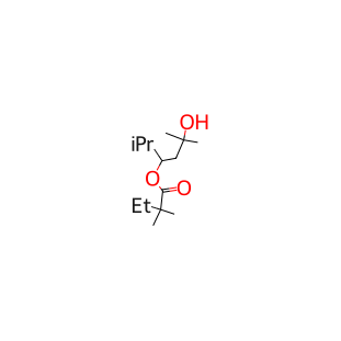 CCC(C)(C)C(=O)OC(CC(C)(C)O)C(C)C